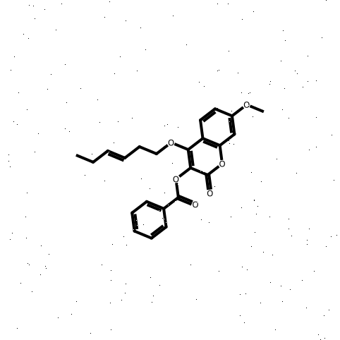 CC/C=C/CCOc1c(OC(=O)c2ccccc2)c(=O)oc2cc(OC)ccc12